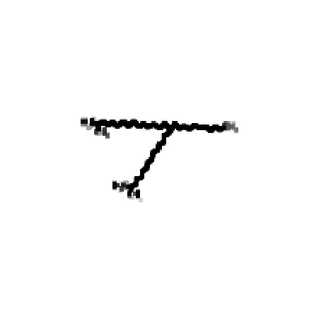 CCCCCCCCCCCC(CCCCCCCCCCCCCC(C)C)CCCCCCCCCCCCCC(C)C